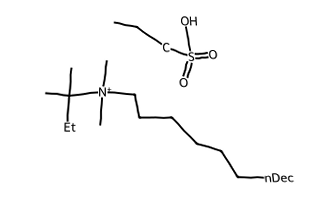 CCCCCCCCCCCCCCCC[N+](C)(C)C(C)(C)CC.CCCS(=O)(=O)O